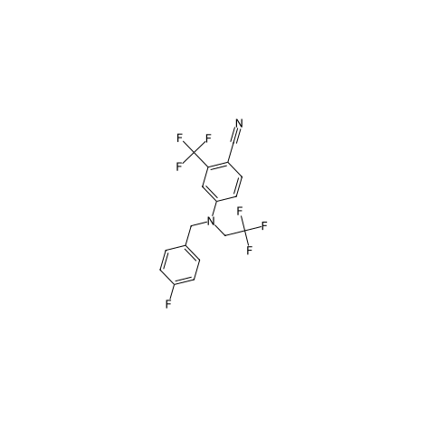 N#Cc1ccc(N(Cc2ccc(F)cc2)CC(F)(F)F)cc1C(F)(F)F